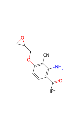 CC(C)C(=O)c1ccc(OCC2CO2)c(C#N)c1N